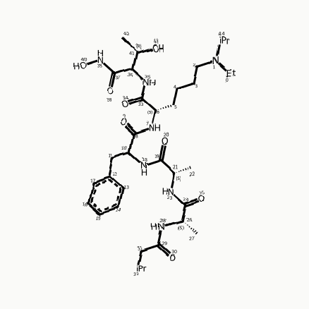 CCN(CCCC[C@H](NC(=O)C(Cc1ccccc1)NC(=O)[C@H](C)NC(=O)[C@H](C)NC(=O)CC(C)C)C(=O)NC(C(=O)NO)[C@@H](C)O)C(C)C